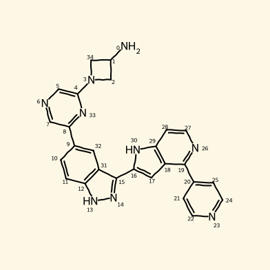 NC1CN(c2cncc(-c3ccc4[nH]nc(-c5cc6c(-c7ccncc7)nccc6[nH]5)c4c3)n2)C1